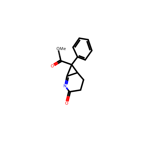 COC(=O)C1(c2ccccc2)C2=NC(=O)CCC21